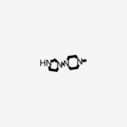 CN1CCN(N2CCNC2)CC1